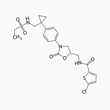 CCS(=O)(=O)NCC1(c2ccc(N3CC(CNC(=O)c4ccc(Cl)s4)OC3=O)cc2)CC1